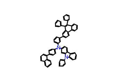 c1ccc(-c2c(-c3ccccc3)c3cc(-c4cccc(N(c5ccc(-c6cccc7ccccc67)cc5)c5ccc6c7ccccc7n(-c7ccccc7)c6c5)c4)ccc3c3ccccc23)cc1